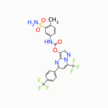 Cc1ccc(NC(=O)Oc2cnn3c(C(F)(F)F)cc(-c4ccc(C(F)(F)F)cc4)nc23)cc1S(N)(=O)=O